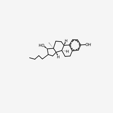 CCCCC1C[C@H]2[C@@H]3CCc4cc(O)ccc4[C@H]3CC[C@]2(C)[C@@H]1O